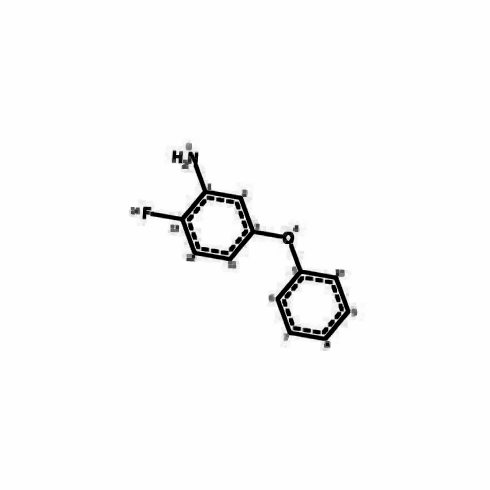 Nc1cc(Oc2ccccc2)ccc1F